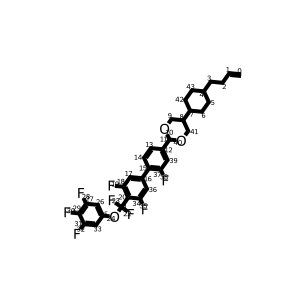 C=CCCC1CCC(C2COC(c3ccc(-c4cc(F)c(C(F)(F)Oc5cc(F)c(F)c(F)c5)c(F)c4)c(F)c3)OC2)CC1